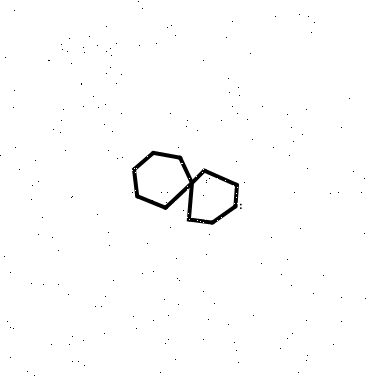 [C]1CCC2(CC1)CCCCC2